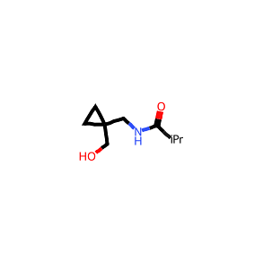 CC(C)C(=O)NCC1(CO)CC1